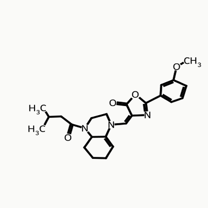 COc1cccc(C2=NC(=CN3CCN(C(=O)CC(C)C)C4CCCC=C43)C(=O)O2)c1